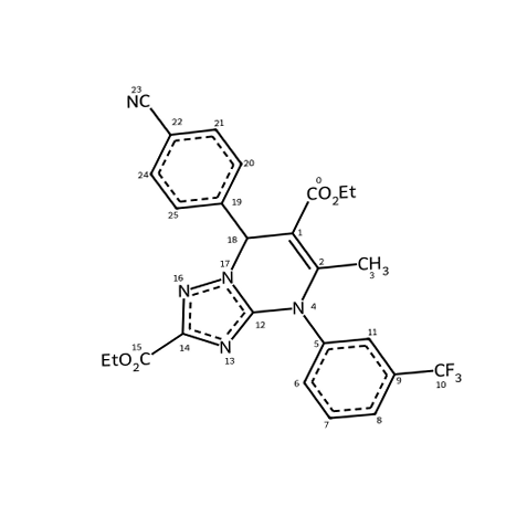 CCOC(=O)C1=C(C)N(c2cccc(C(F)(F)F)c2)c2nc(C(=O)OCC)nn2C1c1ccc(C#N)cc1